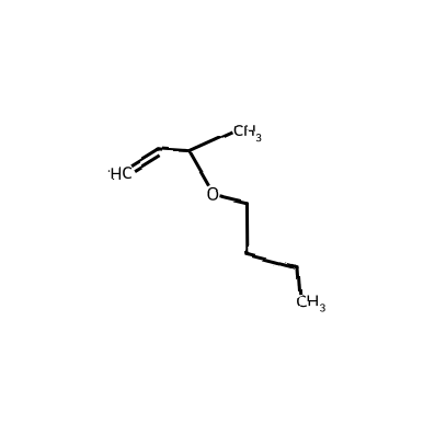 [CH]=CC(C)OCCCC